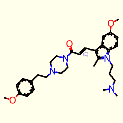 COc1ccc(CCN2CCN(C(=O)/C=C/c3c(C)n(CCCN(C)C)c4ccc(OC)cc34)CC2)cc1